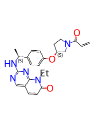 C=CC(=O)N1CC[C@H](Oc2ccc([C@H](C)Nc3ncc4ccc(=O)n(CC)c4n3)cc2)C1